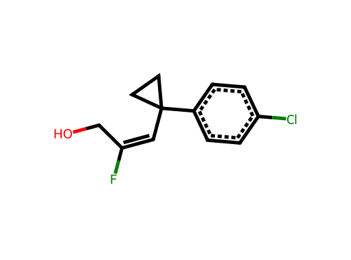 OC/C(F)=C\C1(c2ccc(Cl)cc2)CC1